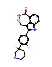 O=C1NOCc2c(-c3ccc(C4(F)CCCNC4)c(F)c3)[nH]c3cccc1c23